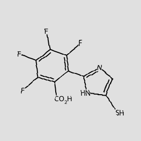 O=C(O)c1c(F)c(F)c(F)c(F)c1-c1ncc(S)[nH]1